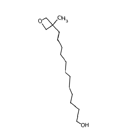 CC1(CCCCCCCCCCCCO)COC1